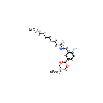 CCCCCC1COC(c2ccc(F)c(CNC(=O)CCCCCCCC(=O)OCC)c2)OC1